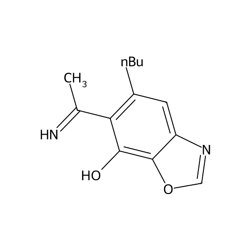 CCCCc1cc2ncoc2c(O)c1C(C)=N